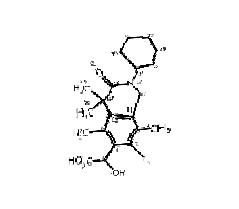 Cc1c(I)c(C(O)C(=O)O)c(C)c2c1CN(C1CCCCC1)C(=O)C2(C)C